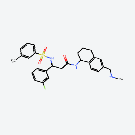 CC(C)(C)NCc1ccc2c(c1)CCCC2NC(=O)CC(NS(=O)(=O)c1cccc(C(F)(F)F)c1)c1cccc(F)c1